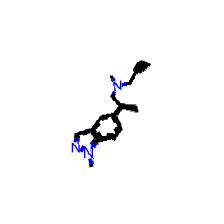 C#CCN(C)CC(=C)c1ccc2c(cnn2C)c1